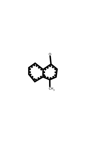 Cc1ccc([O])c2ccccc12